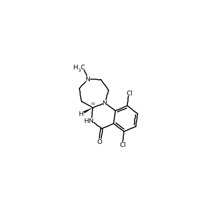 CN1CC[C@H]2NC(=O)c3c(Cl)ccc(Cl)c3N2CC1